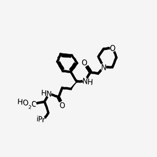 CC(C)CC(NC(=O)CC[C@H](NC(=O)CN1CCOCC1)c1ccccc1)C(=O)O